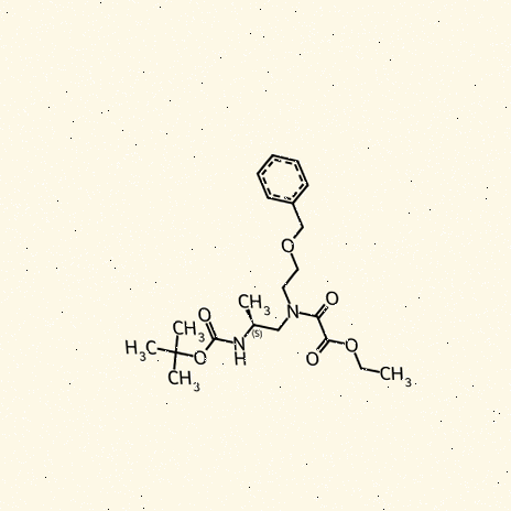 CCOC(=O)C(=O)N(CCOCc1ccccc1)C[C@H](C)NC(=O)OC(C)(C)C